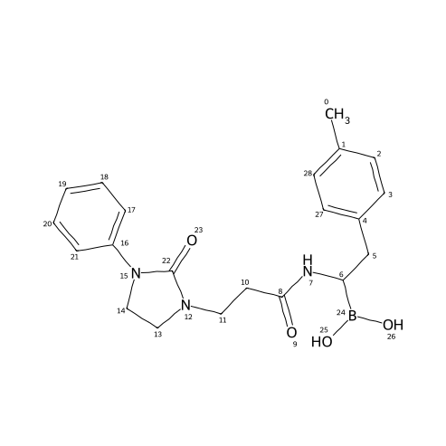 Cc1ccc(CC(NC(=O)CCN2CCN(c3ccccc3)C2=O)B(O)O)cc1